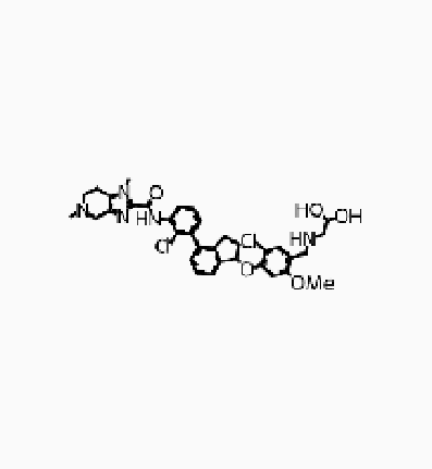 COc1cc(OC2CCc3c(-c4cccc(NC(=O)c5nc6c(n5C)CCN(C)C6)c4Cl)cccc32)c(Cl)cc1CNCC(O)O